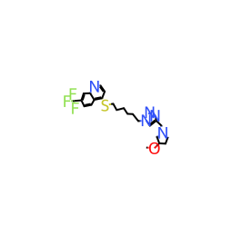 COC1CCN(Cc2cn(CCCCCCSc3ccnc4cc(C(F)(F)F)ccc34)nn2)C1